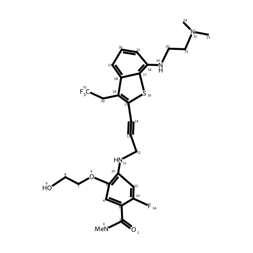 CNC(=O)c1cc(OCCO)c(NCC#Cc2sc3c(NCCN(C)C)cccc3c2CC(F)(F)F)cc1F